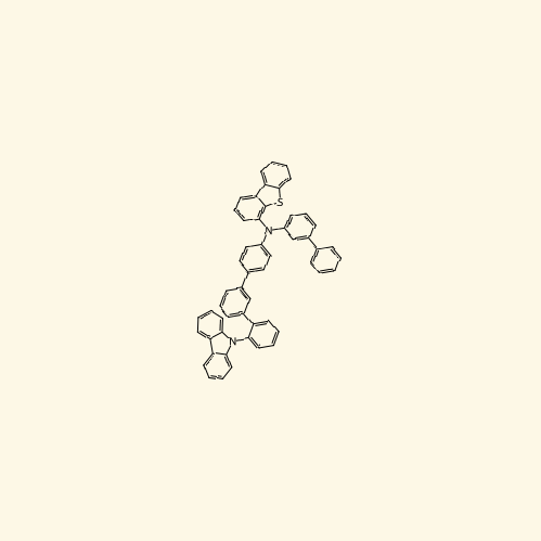 c1ccc(-c2cccc(N(c3ccc(-c4cccc(-c5ccccc5-n5c6ccccc6c6ccccc65)c4)cc3)c3cccc4c3sc3ccccc34)c2)cc1